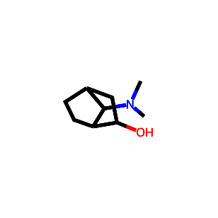 CN(C)C1C2CCC1C(O)C2